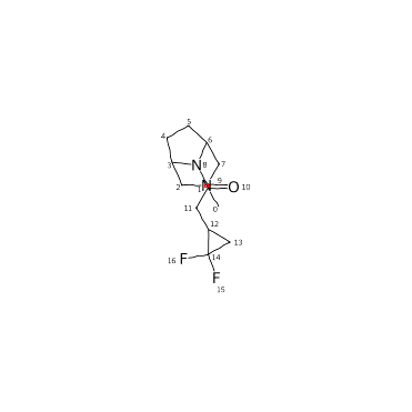 CN1CC2CCC(C1)N2C(=O)CC1CC1(F)F